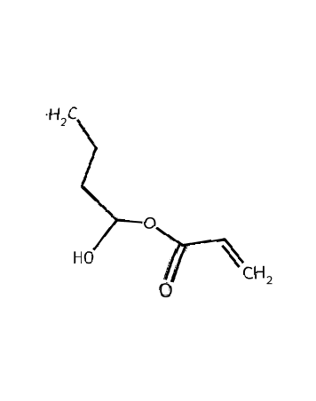 [CH2]CCC(O)OC(=O)C=C